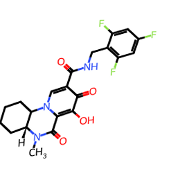 CN1C(=O)c2c(O)c(=O)c(C(=O)NCc3c(F)cc(F)cc3F)cn2C2CCCC[C@H]21